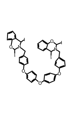 IC1Oc2ccccc2C(I)N1Cc1ccc(Oc2ccc(Oc3ccc(Oc4ccc(CN5C(I)Oc6ccccc6C5I)cc4)cc3)cc2)cc1